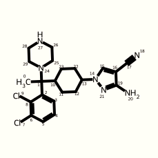 CC(c1cccc(Cl)c1Cl)(C1CCC(n2cc(C#N)c(N)n2)CC1)N1CCNCC1